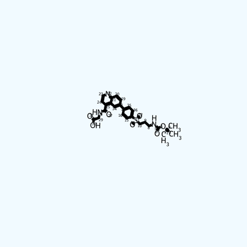 CC(C)(C)OC(=O)NCCCS(=O)(=O)c1ccc(-c2ccc3nccc(C(=O)NCC(=O)O)c3c2)cc1